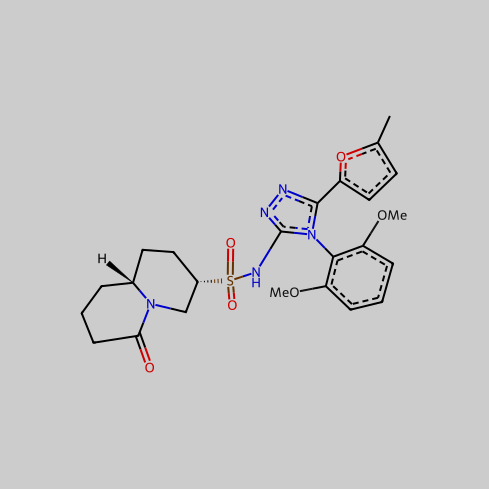 COc1cccc(OC)c1-n1c(NS(=O)(=O)[C@H]2CC[C@H]3CCCC(=O)N3C2)nnc1-c1ccc(C)o1